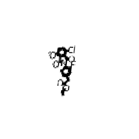 CCOC(=O)Cc1ccc(N2C(=O)c3c(Cl)ccc(OC)c3C2=O)c(F)c1